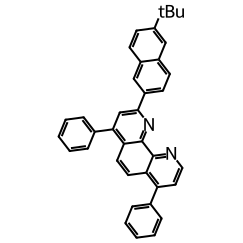 CC(C)(C)c1ccc2cc(-c3cc(-c4ccccc4)c4ccc5c(-c6ccccc6)ccnc5c4n3)ccc2c1